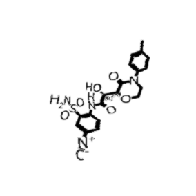 [C-]#[N+]c1ccc(NC(=O)[C@H](O)[C@H]2OCCN(c3ccc(C)cc3)C2=O)c(S(N)(=O)=O)c1